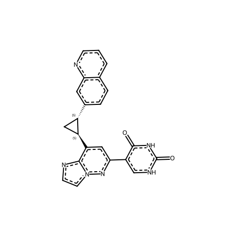 O=c1[nH]cc(-c2cc([C@H]3C[C@@H]3c3ccc4cccnc4c3)c3nccn3n2)c(=O)[nH]1